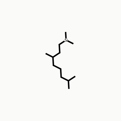 CC(C)CCCC(C)CC[Si](C)C